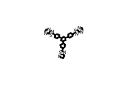 c1cnc2sc(-c3ccc(-c4cc(-c5ccc(-c6nc7nccnc7s6)cc5)cc(-c5ccc(-c6nc7nccnc7s6)cc5)c4)cc3)nc2c1